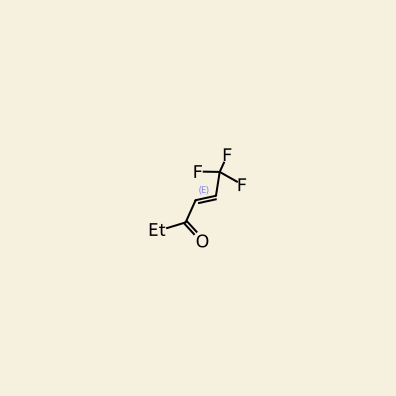 CCC(=O)/C=C/C(F)(F)F